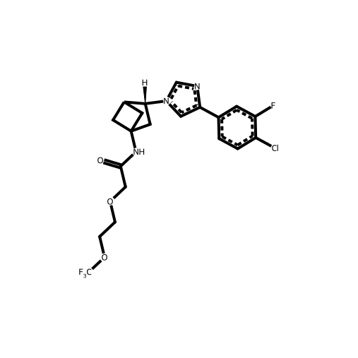 O=C(COCCOC(F)(F)F)NC12CC(C1)[C@H](n1cnc(-c3ccc(Cl)c(F)c3)c1)C2